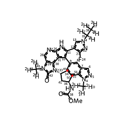 [2H]C([2H])([2H])n1ncc2cc(-c3c(-c4cn(C([2H])([2H])C([2H])([2H])[2H])nc4F)[nH]c4ncc5c(c34)n([C@@H]3CC[C@@H](NC(=O)OC)C3)c(=O)n5C([2H])([2H])[2H])ccc21